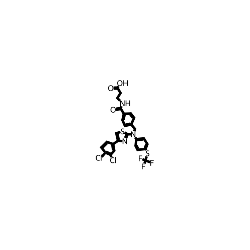 O=C(O)CCNC(=O)c1ccc(CN(c2ccc(SC(F)(F)F)cc2)c2nc(-c3ccc(Cl)c(Cl)c3)cs2)cc1